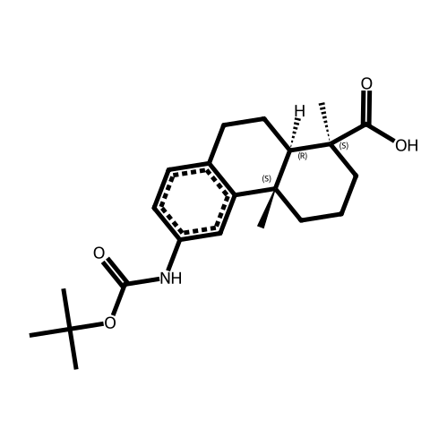 CC(C)(C)OC(=O)Nc1ccc2c(c1)[C@@]1(C)CCC[C@](C)(C(=O)O)[C@@H]1CC2